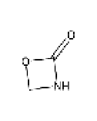 O=C1NCO1